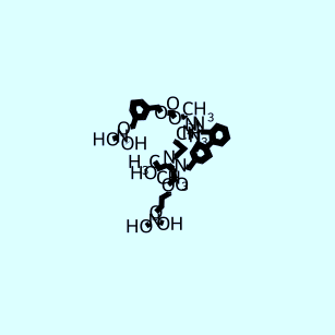 CCCc1nc(C(C)(C)O)c(C(=O)OCCCON(O)O)n1Cc1ccc(-c2ccccc2-c2nnn(C(C)OC(=O)OCc3cccc(CON(O)O)c3)n2)cc1